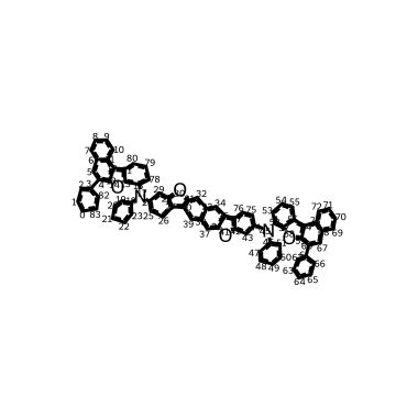 c1ccc(-c2cc3ccccc3c3c2oc2c(N(c4ccccc4)c4ccc5c(c4)oc4cc6cc7c(cc6cc45)oc4cc(N(c5ccccc5)c5cccc6c5oc5c(-c8ccccc8)cc8ccccc8c56)ccc47)cccc23)cc1